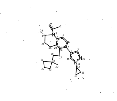 C=C(C)N1c2ccc(-c3cnn(C4CC4)c3)c(CCC3(C)CCC3)c2CC[C@@H]1C